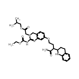 CCOC(=O)NC1=Nc2cc(OCCC(C(N)=O)C3CCc4ccccc4N3)ccc2CN1CC(=O)OCC(C)C